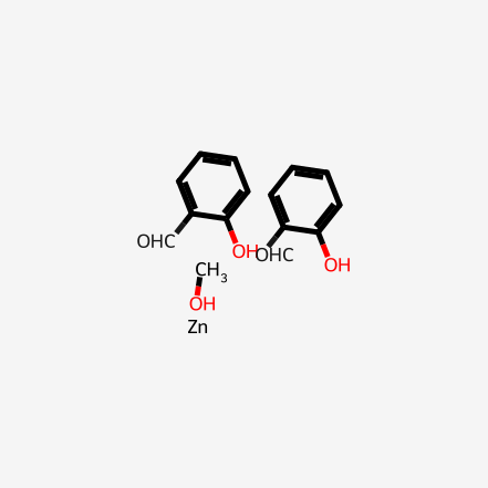 CO.O=Cc1ccccc1O.O=Cc1ccccc1O.[Zn]